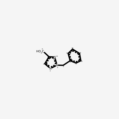 O=C(O)c1cnn(Cc2ccccc2)n1